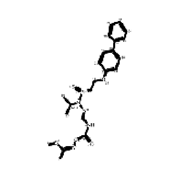 CSC(C)=NOC(=O)NCSN(C(C)C)[PH](=S)CCOc1ccc(-c2ccccc2)cc1